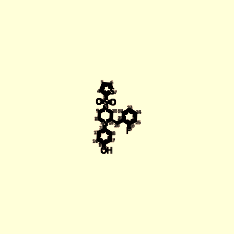 O=S(=O)(c1cccs1)N1CCN(c2ccc(O)cc2)[C@H](Cc2ccccc2F)C1